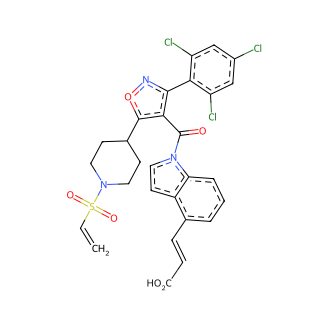 C=CS(=O)(=O)N1CCC(c2onc(-c3c(Cl)cc(Cl)cc3Cl)c2C(=O)n2ccc3c(/C=C/C(=O)O)cccc32)CC1